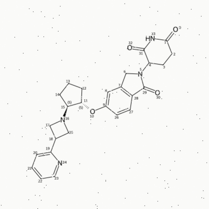 O=C1CCC(N2Cc3cc(O[C@H]4CCC[C@@H]4N4CC(c5ccccn5)C4)ccc3C2=O)C(=O)N1